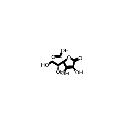 O=C1O[C@](C(=O)O)([C@@H](O)CO)C(O)=C1O